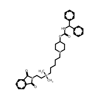 C[N+](C)(CCCCCN1CCC(OC(=O)NC(c2ccccc2)c2ccccc2)CC1)CCN1C(=O)c2ccccc2C1=O